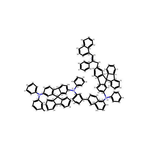 Cc1cccc(N(c2ccccc2)c2ccc3c(c2)C2(c4ccccc4-c4ccccc42)c2cc(N(c4ccccc4)c4cccc(-c5ccc6c(N(c7ccccc7)c7ccc8c(c7)C7(c9ccccc9-c9ccccc97)c7cc(C/C(=C/c9cccc%10ccccc9%10)c9ccccc9)ccc7-8)cccc6c5)c4)ccc2-3)c1